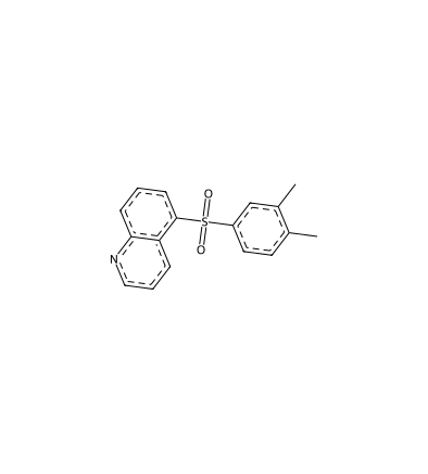 Cc1ccc(S(=O)(=O)c2cccc3ncccc23)cc1C